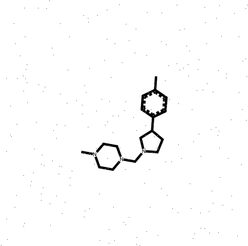 Cc1ccc(C2CCN(CN3CCN(C)CC3)C2)cc1